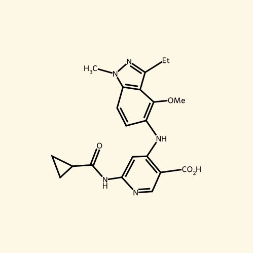 CCc1nn(C)c2ccc(Nc3cc(NC(=O)C4CC4)ncc3C(=O)O)c(OC)c12